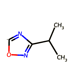 CC(C)c1n[c]on1